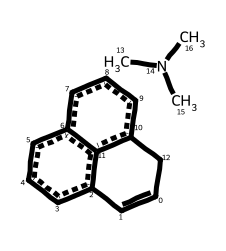 C1=Cc2cccc3cccc(c23)C1.CN(C)C